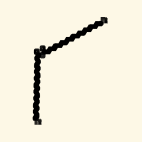 CCC=CCC=CCC=CCC=CCC=CCC=CCCC(=O)OC(=O)CCC=CCC=CCC=CCC=CCC=CCC=CCC